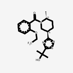 C[C@@H]1CC[C@@H](c2nsc(C(C)(C)O)n2)CN1C(=O)c1ccccc1OCC(F)(F)F